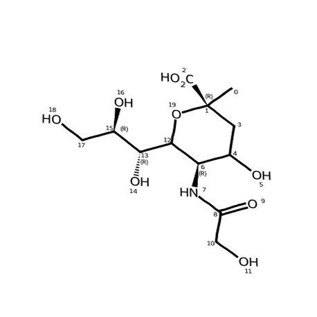 C[C@]1(C(=O)O)CC(O)[C@@H](NC(=O)CO)C([C@H](O)[C@H](O)CO)O1